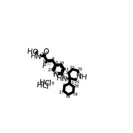 Cl.Cl.O=C(NO)/C(F)=C/c1ccc(N[C@@]2(C3CCCCC3)CCCNC2)nc1